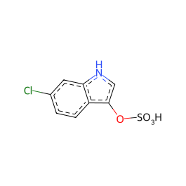 O=S(=O)(O)Oc1c[nH]c2cc(Cl)ccc12